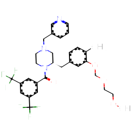 COCCOCOc1cc(C[C@@H]2CN(Cc3cccnc3)CCN2C(=O)c2cc(C(F)(F)F)cc(C(F)(F)F)c2)ccc1C